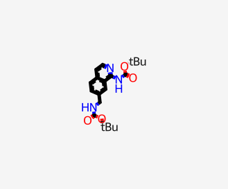 CC(C)(C)OC(=O)NCc1ccc2ccnc(NC(=O)OC(C)(C)C)c2c1